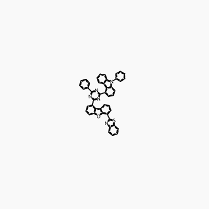 c1ccc(-c2nc(-c3cccc4oc5c(-c6nc7ccccc7s6)cccc5c34)nc(-c3cccc4c3c3ccccc3n4-c3ccccc3)n2)cc1